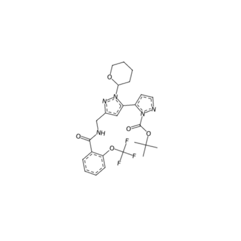 CC(C)(C)OC(=O)n1nccc1-c1cc(CNC(=O)c2ccccc2OC(F)(F)F)nn1C1CCCCO1